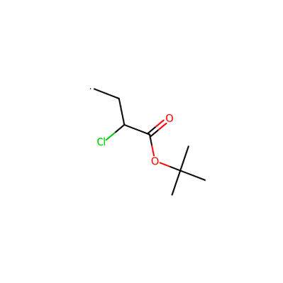 [CH2]CC(Cl)C(=O)OC(C)(C)C